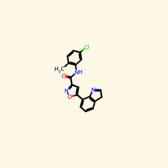 Cc1ccc(Cl)cc1NC(=O)c1cc(-c2cccc3c2N=CC3)on1